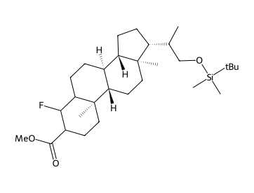 COC(=O)C1CC[C@@]2(C)C(CC[C@H]3[C@@H]4CC[C@H](C(C)CO[Si](C)(C)C(C)(C)C)[C@@]4(C)CC[C@@H]32)C1F